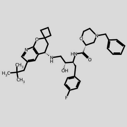 CC(C)(C)Cc1cnc2c(c1)[C@@H](NC[C@@H](O)[C@H](Cc1ccc(F)cc1)NC(=O)[C@H]1CN(Cc3ccccc3)CCO1)CC1(CCC1)O2